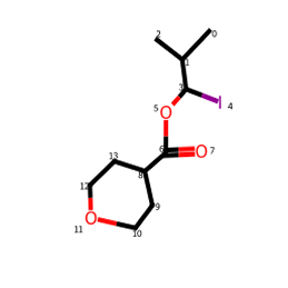 CC(C)C(I)OC(=O)C1CCOCC1